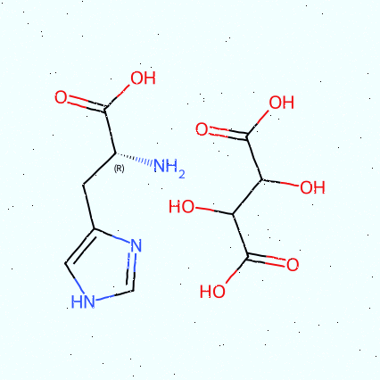 N[C@H](Cc1c[nH]cn1)C(=O)O.O=C(O)C(O)C(O)C(=O)O